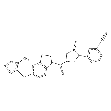 Cn1cncc1Cc1ccc2c(c1)CCN2C(=O)C1CC(=O)N(c2cccc(C#N)c2)C1